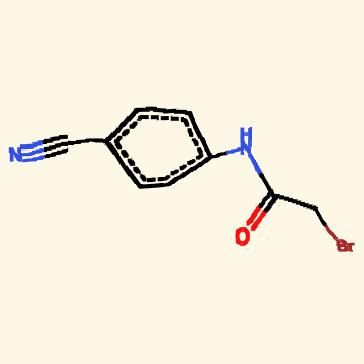 N#Cc1ccc(NC(=O)CBr)cc1